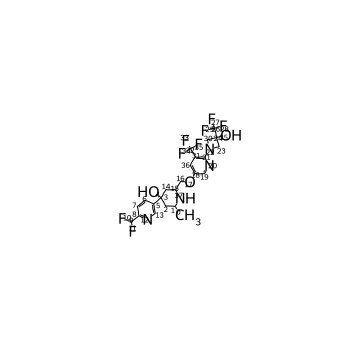 CC1CC(O)(c2ccc(C(F)F)nc2)CC(COc2cnc(N3CC(O)(C(F)(F)F)C3)c(C(F)(F)F)c2)N1